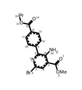 COC(=O)c1cc(Br)nc(-c2ccc(C(=O)OC(C)C)cc2)c1N